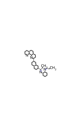 C=C/C=N\c1ccccc1/N=C(\C=C)c1ccc2ccc(-c3ccc4ccc5cccnc5c4n3)cc2c1